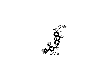 CCOc1cc(C(=O)N2CCC3(CC2)CC(=O)c2cc(NC(=O)OC)ccc2O3)cc(OC)c1-c1cnn(C)c1